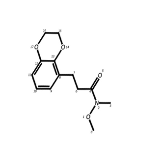 CON(C)C(=O)CCc1cccc2c1OCCO2